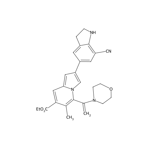 C=C(c1c(C)c(C(=O)OCC)cc2cc(-c3cc(C#N)c4c(c3)CCN4)cn12)N1CCOCC1